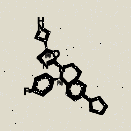 Fc1ccc([C@H]2c3ccc(C4CCCC4)cc3CCN2C2=NC[C@@H](C3CNC3)O2)cc1